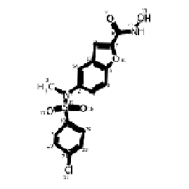 CN(c1ccc2oc(C(=O)NO)cc2c1)S(=O)(=O)c1ccc(Cl)cc1